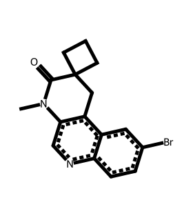 CN1C(=O)C2(CCC2)Cc2c1cnc1ccc(Br)cc21